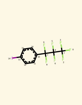 FC(F)(F)C(F)(F)C(F)(F)c1ccc(I)cc1